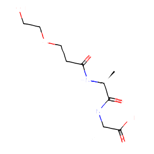 C[C@H](NC(=O)[C@H](C)NC(=O)CCOCCO)C(=O)O